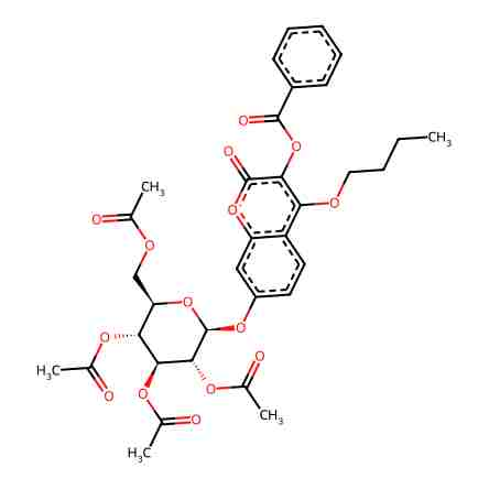 CCCCOc1c(OC(=O)c2ccccc2)c(=O)oc2cc(O[C@@H]3O[C@H](COC(C)=O)[C@@H](OC(C)=O)[C@H](OC(C)=O)[C@H]3OC(C)=O)ccc12